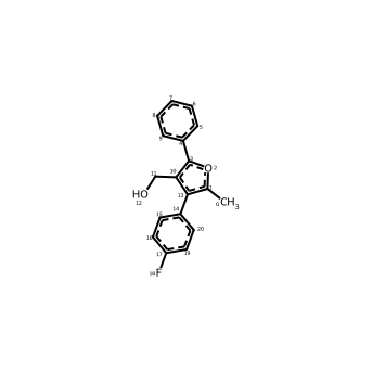 Cc1oc(-c2ccccc2)c(CO)c1-c1ccc(F)cc1